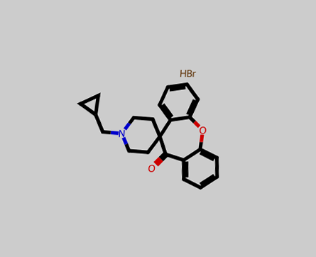 Br.O=C1c2ccccc2Oc2ccccc2C12CCN(CC1CC1)CC2